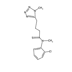 CN(C(=S)CCCc1nnnn1C)c1ccccc1Cl